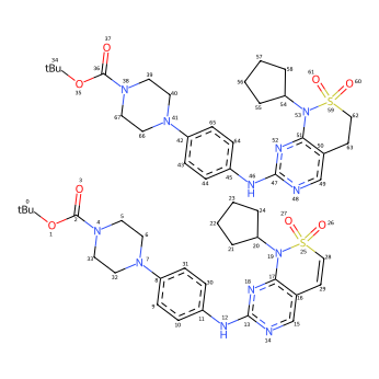 CC(C)(C)OC(=O)N1CCN(c2ccc(Nc3ncc4c(n3)N(C3CCCC3)S(=O)(=O)C=C4)cc2)CC1.CC(C)(C)OC(=O)N1CCN(c2ccc(Nc3ncc4c(n3)N(C3CCCC3)S(=O)(=O)CC4)cc2)CC1